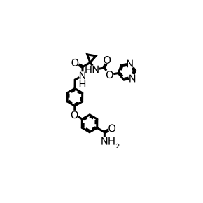 NC(=O)c1ccc(Oc2ccc(CNC(=O)C3(NC(=O)Oc4cncnc4)CC3)cc2)cc1